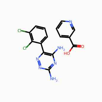 Nc1nnc(-c2cccc(Cl)c2Cl)c(N)n1.O=C(O)c1cccnc1